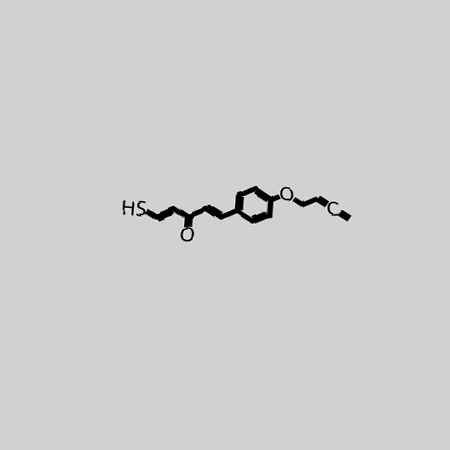 C=C=CCOc1ccc(/C=C/C(=O)/C=C/S)cc1